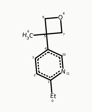 CCc1ccc(C2(C)COC2)cn1